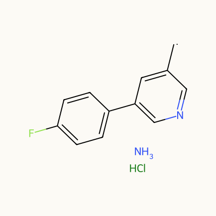 Cl.N.[CH2]c1cncc(-c2ccc(F)cc2)c1